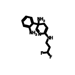 Nc1ccccc1C1(N)C=NC(NCCC(F)F)=CC1